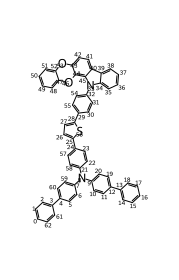 c1ccc(-c2ccc(N(c3ccc(-c4ccccc4)cc3)c3ccc(-c4ccc(-c5ccc(-n6c7ccccc7c7ccc8c(c76)Oc6ccccc6O8)cc5)s4)cc3)cc2)cc1